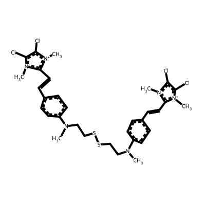 CN(CCSSCCN(C)c1ccc(/C=C/c2n(C)c(Cl)c(Cl)[n+]2C)cc1)c1ccc(/C=C/c2n(C)c(Cl)c(Cl)[n+]2C)cc1